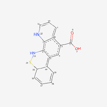 O=C(O)c1cc2c(c3c1=CC=CN3)NSC1C=CC=CC=21